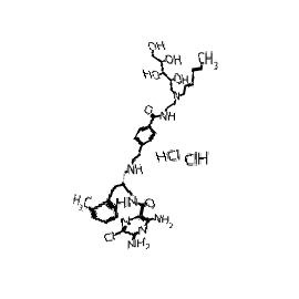 CCCCCCN(CCNC(=O)c1ccc(CCNC[C@H](CNC(=O)c2nc(Cl)c(N)nc2N)Cc2ccccc2C)cc1)C[C@H](O)[C@@H](O)[C@H](O)CO.Cl.Cl